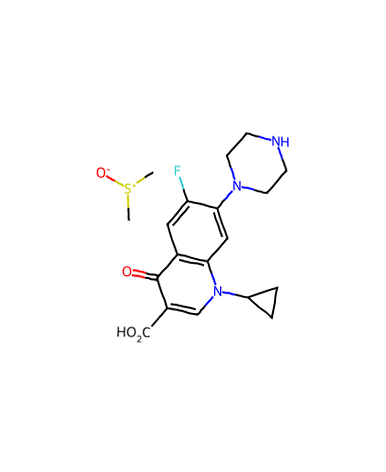 C[S+](C)[O-].O=C(O)c1cn(C2CC2)c2cc(N3CCNCC3)c(F)cc2c1=O